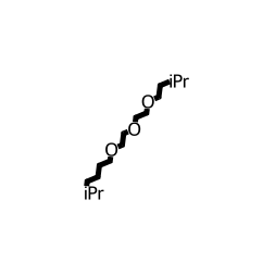 CC(C)CCCCOCCOCCOCCC(C)C